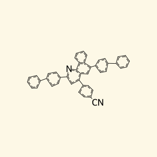 N#Cc1ccc(-c2cc(-c3ccc(-c4ccccc4)cc3)nc3c2cc(-c2ccc(-c4ccccc4)cc2)c2ccccc23)cc1